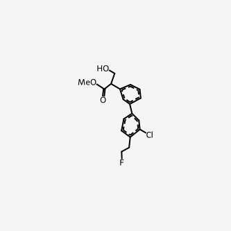 COC(=O)C(CO)c1cccc(-c2ccc(CCF)c(Cl)c2)c1